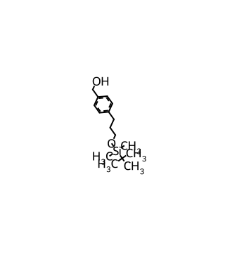 CC(C)(C)[Si](C)(C)OCCCc1ccc(CO)cc1